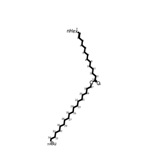 CCCCCCC=CCCCCCCCCCCCC(=O)OCCCCCCCCCCCCCCCCCCC(C)CC